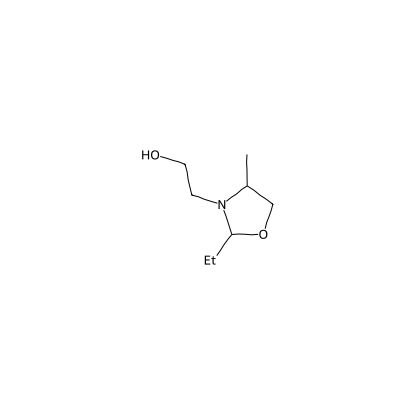 CCC1OCC(C)N1CCO